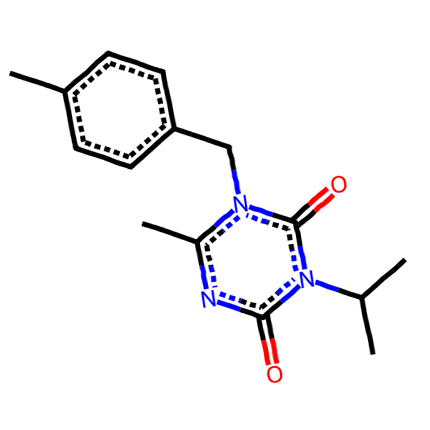 Cc1ccc(Cn2c(C)nc(=O)n(C(C)C)c2=O)cc1